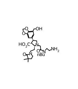 CCCCN(CCN)C(=O)CN1C[C@H](c2cc(CO)c3c(c2)OCO3)[C@@H](C(=O)O)[C@@H]1CCN1CCC(C)(C)C1=O